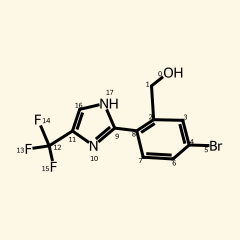 OCc1cc(Br)ccc1-c1nc(C(F)(F)F)c[nH]1